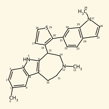 Cc1ccc2[nH]c3c(c2c1)CCN(C)CC3c1ccsc1-c1ccc2ccn(C)c2c1